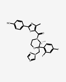 Cc1nc(-c2ccc(C#N)cc2)sc1C(=O)N1CCO[C@@](Cn2cncn2)(c2ccc(F)cc2F)[C@H]1C